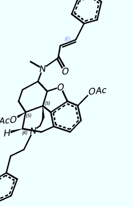 CC(=O)Oc1ccc2c3c1OC1C(N(C)C(=O)/C=C/c4ccccc4)CC[C@@]4(OC(C)=O)[C@@H](C2)N(CCc2ccccc2)CC[C@]314